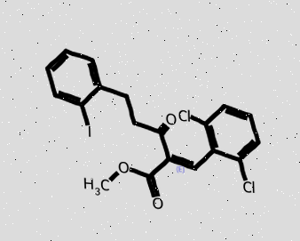 COC(=O)/C(=C/c1c(Cl)cccc1Cl)C(=O)CCc1ccccc1I